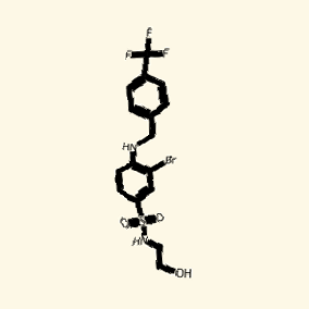 O=S(=O)(NCCO)c1ccc(NCc2ccc(C(F)(F)F)cc2)c(Br)c1